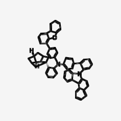 c1ccc(-n2c3ccccc3c3c4ccccc4ccc32)c(-c2ccc(N(c3ccc(-c4cccc5c4oc4ccccc45)cc3)c3ccccc3[C@]34CC5C[C@H]6CC(C3)[C@H]6C54)cc2)c1